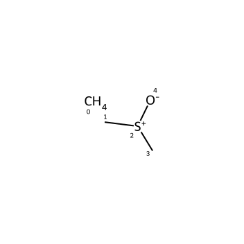 C.C[S+](C)[O-]